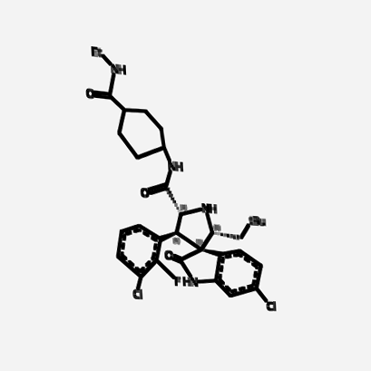 CCNC(=O)C1CCC(NC(=O)[C@@H]2N[C@H](CC(C)(C)C)[C@]3(C(=O)Nc4cc(Cl)ccc43)[C@H]2c2cccc(Cl)c2F)CC1